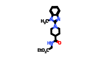 CCOC(=O)CNC(=O)C1CCN(c2nc3ccccc3n2C)CC1